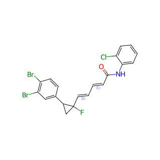 O=C(/C=C/C=C/C1(F)CC1c1ccc(Br)c(Br)c1)Nc1ccccc1Cl